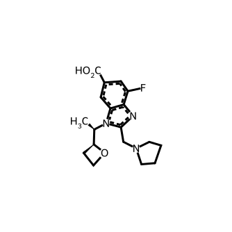 C[C@H]([C@@H]1CCO1)n1c(CN2CCCC2)nc2c(F)cc(C(=O)O)cc21